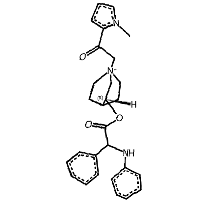 Cn1cccc1C(=O)C[N+]12CCC(CC1)[C@@H](OC(=O)C(Nc1ccccc1)c1ccccc1)C2